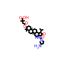 CC(C)C1=C2C3CCC4[C@@]5(C)CC[C@H](OC(=O)CC(C)(C)C(=O)O)C(C)(C)C5CC[C@@]4(C)[C@]3(C)CC[C@@]2(NC(=O)N2CC[C@@H](N)C2)CC1=O